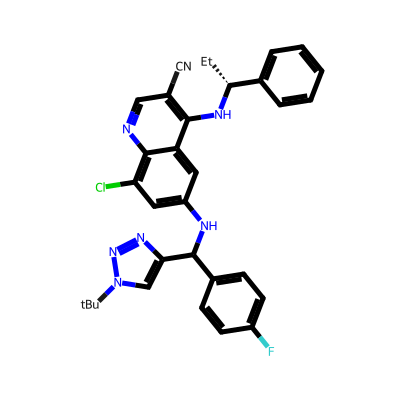 CC[C@@H](Nc1c(C#N)cnc2c(Cl)cc(NC(c3ccc(F)cc3)c3cn(C(C)(C)C)nn3)cc12)c1ccccc1